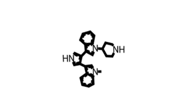 Cn1cc(-c2c[nH]cc2-c2cn(C3CCNCC3)c3ccccc23)c2ccccc21